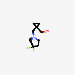 OCC1(CN2CCC(F)(F)C2)CC1